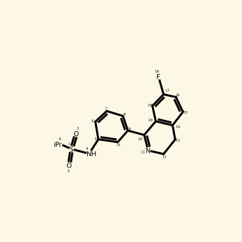 CC(C)S(=O)(=O)Nc1cccc(C2=NCCc3ccc(F)cc32)c1